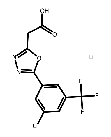 O=C(O)Cc1nnc(-c2cc(Cl)cc(C(F)(F)F)c2)o1.[Li]